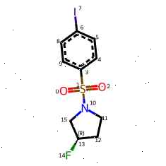 O=S(=O)(c1ccc(I)cc1)N1CC[C@@H](F)C1